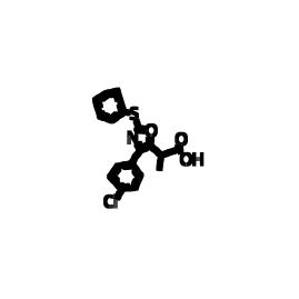 CC(C(=O)O)c1oc(Sc2ccccc2)nc1-c1ccc(Cl)cc1